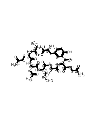 CC[C@H](C)[C@H](NC(=O)[C@@H](N)Cc1ccc(O)cc1)C(=O)N[C@@H](CCC(N)=O)C(=O)N[C@@H](CC(N)=O)C(=O)N[C@@H](CNC=O)C(=O)N[C@@H](C)C(=O)N[C@@H](CC(C)C)C(=O)NCC(N)=O